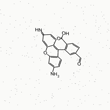 N=c1ccc2c(-c3cc(C=O)ccc3C(=O)O)c3ccc(N)cc3oc-2c1